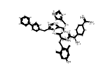 Cc1cc(O)cc(C)c1C[C@H](NC(=O)[C@H](N)C1CCC(C(=N)N)CC1)C(=O)N[C@@H](Cc1c[nH]cn1)c1nc(Cc2ccc(-c3ccccc3)cc2)no1